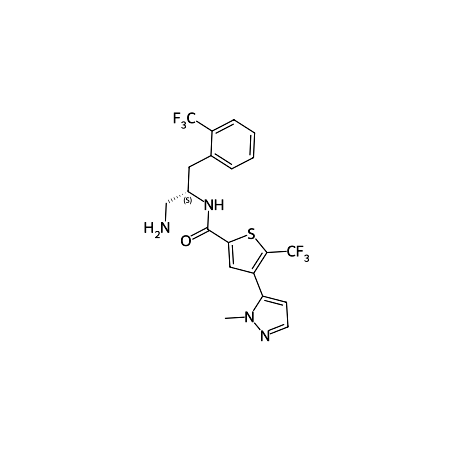 Cn1nccc1-c1cc(C(=O)N[C@H](CN)Cc2ccccc2C(F)(F)F)sc1C(F)(F)F